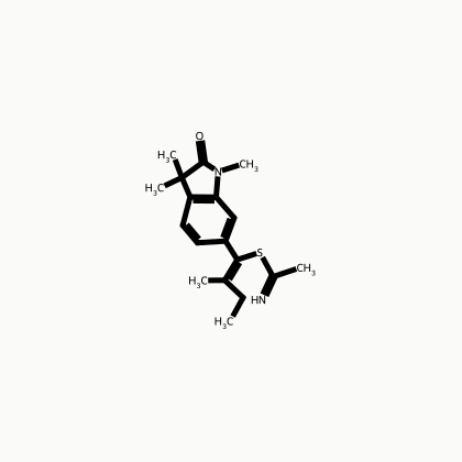 CC/C(C)=C(\SC(C)=N)c1ccc2c(c1)N(C)C(=O)C2(C)C